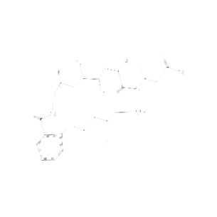 COCCCCOc1ccccc1C(=O)NC[C@@H](CC(N)C(O)CC(C(=O)NC(C)CC(N)=O)C(C)C)C(C)C.Cl